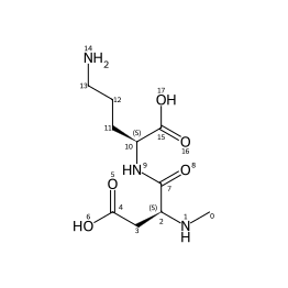 CN[C@@H](CC(=O)O)C(=O)N[C@@H](CCCN)C(=O)O